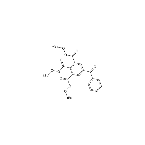 CC(C)(C)OOC(=O)c1cc(C(=O)c2ccccc2)cc(C(=O)OOC(C)(C)C)c1C(=O)OOC(C)(C)C